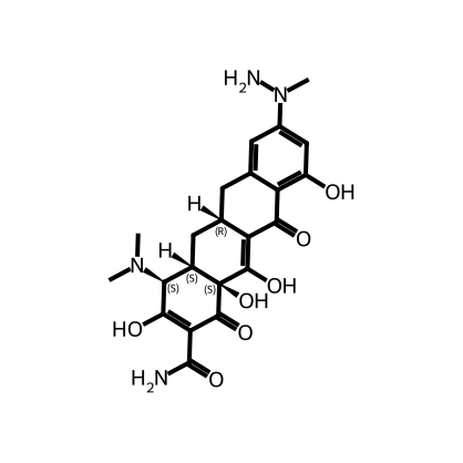 CN(N)c1cc(O)c2c(c1)C[C@H]1C[C@H]3[C@H](N(C)C)C(O)=C(C(N)=O)C(=O)[C@@]3(O)C(O)=C1C2=O